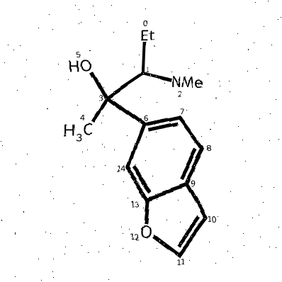 CCC(NC)C(C)(O)c1ccc2ccoc2c1